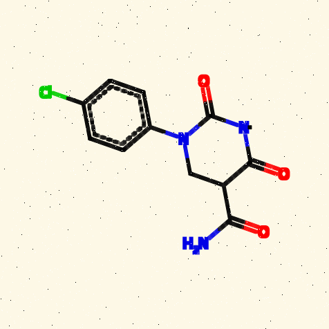 NC(=O)C1CN(c2ccc(Cl)cc2)C(=O)[N]C1=O